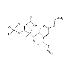 C=CC[C@H](C)[C@H](OC(=O)OCC(Cl)(Cl)Cl)[C@@H](C)C(=O)C(C)(C)[C@H](CC(O)O)O[Si](CC)(CC)CC